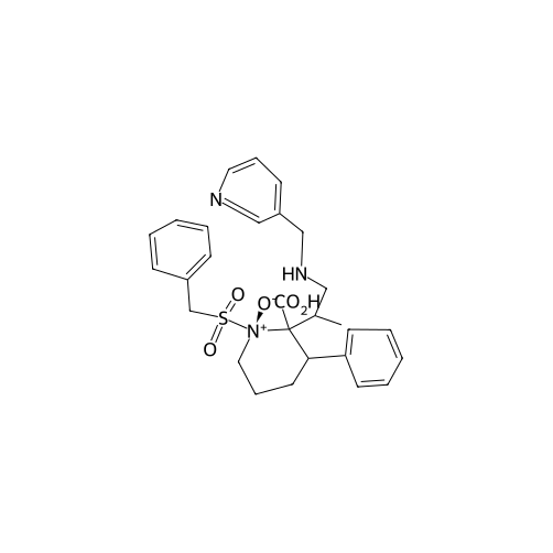 CC(CNCc1cccnc1)C1(C(=O)O)C(c2ccccc2)CCC[N@+]1([O-])S(=O)(=O)Cc1ccccc1